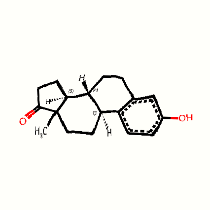 CC12CC[C@@H]3c4ccc(O)cc4CC[C@H]3[C@@H]1CCC2=O